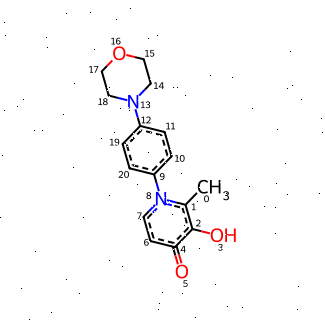 Cc1c(O)c(=O)ccn1-c1ccc(N2CCOCC2)cc1